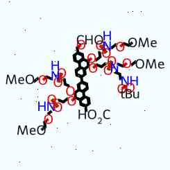 COCCOCCNS(=O)(=O)CCCOC1c2cc(CC(=O)O)ccc2-c2ccc(-c3ccc4c(c3)C(OCCCS(=O)(=O)N(CCCNC(=O)OC(C)(C)C)CCOCCOC)C(OCCCS(=O)(=O)NCCOCCOC)c3cc(COC=O)ccc3-4)cc2C1OCCCS(=O)(=O)NCCOCCOC